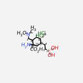 CN(C)CC1CC[C@@H](CCB(O)O)C[C@]1(N)C(=O)O.Cl.Cl